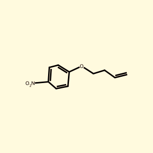 C=CCCOc1ccc([N+](=O)[O-])cc1